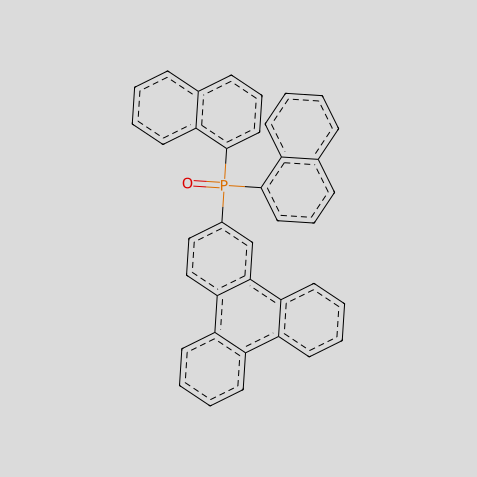 O=P(c1ccc2c3ccccc3c3ccccc3c2c1)(c1cccc2ccccc12)c1cccc2ccccc12